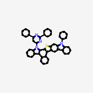 c1ccc(-c2cc(-n3c4ccccc4c4c5ccccc5c5c6cc7c8ccccc8n(-c8ccccc8)c7cc6sc5c43)nc(-c3ccccc3)n2)cc1